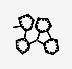 Cc1ccccc1-c1ccccc1B1c2ccccc2-c2ccccc21